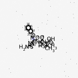 CC1(C)S[C@@H]2[C@H](NC(=O)/C(=N\OC3Cc4ccccc4C3)c3csc(N)n3)C(=O)N2[C@H]1C(=O)O